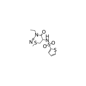 CCN(C#N)C(=O)C(CSC)NS(=O)(=O)c1cccs1